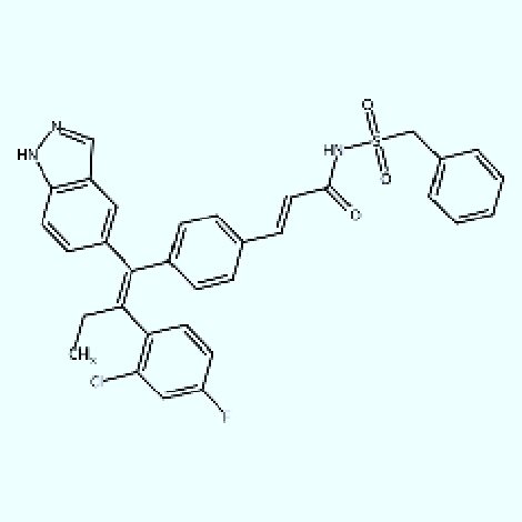 CC/C(=C(/c1ccc(/C=C/C(=O)NS(=O)(=O)Cc2ccccc2)cc1)c1ccc2[nH]ncc2c1)c1ccc(F)cc1Cl